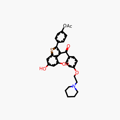 CC(=O)Oc1ccc(-c2sc3cc(O)cc(O)c3c2C(=O)c2ccc(OCCN3CCCCC3)cc2)cc1